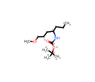 CCCC(CCCOC)NC(=O)OC(C)(C)C